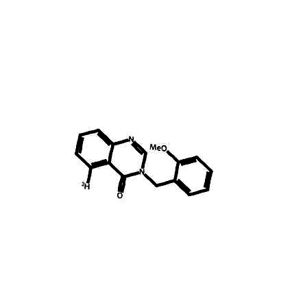 [2H]c1cccc2ncn(Cc3ccccc3OC)c(=O)c12